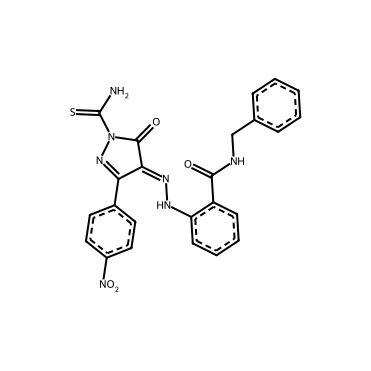 NC(=S)N1N=C(c2ccc([N+](=O)[O-])cc2)/C(=N\Nc2ccccc2C(=O)NCc2ccccc2)C1=O